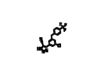 N#Cc1[nH]nnc1-c1cc(Cl)cc(Cc2ccc(C(F)(F)F)cc2)c1